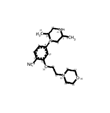 CC1CN(c2ccc(C#N)c(OCCN3CCOCC3)c2)C(C)CN1